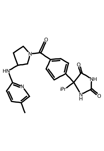 Cc1ccc(NC2CCN(C(=O)c3ccc(C4(C(C)C)NC(=O)NC4=O)cc3)C2)nc1